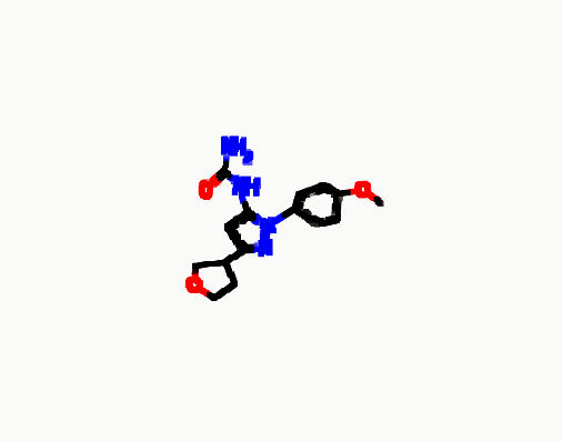 COc1ccc(-n2nc(C3CCOC3)cc2NC(N)=O)cc1